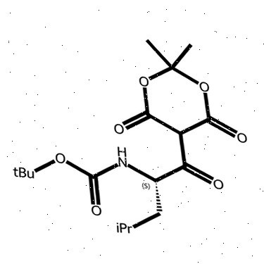 CC(C)C[C@H](NC(=O)OC(C)(C)C)C(=O)C1C(=O)OC(C)(C)OC1=O